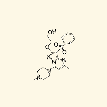 Cc1cc(N2CCN(C)CC2)n2nc(OCCO)c(S(=O)(=O)c3ccccc3)c2n1